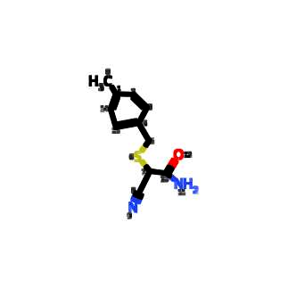 Cc1ccc(CSC(C#N)C(N)=O)cc1